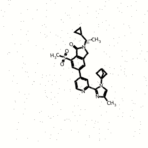 Cc1cn(C23CC(C2)C3)c(-c2cc(-c3cc4c(c(S(C)(=O)=O)c3)C(=O)N([C@@H](C)C3CC3)C4)ccn2)n1